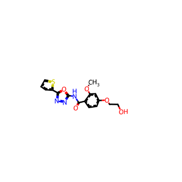 COc1cc(OCCO)ccc1C(=O)Nc1nnc(-c2cccs2)o1